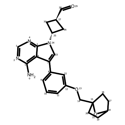 Nc1ncnc2c1c(-c1cccc(OCC34CCC(CC3)O4)c1)cn2[C@H]1C[C@H](C=O)C1